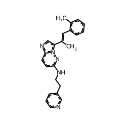 C/C(=C\c1ccccc1C)c1cnc2ccc(NCCc3cccnc3)nn12